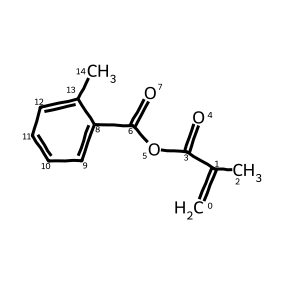 C=C(C)C(=O)OC(=O)c1ccccc1C